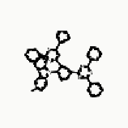 Cc1ccc2c(c1)c1ccccc1n2-c1ccc(-c2nc(-c3ccccc3)nc(-c3ccccc3)n2)cc1-c1cc(-c2ccccc2)nc(-c2ccccc2)n1